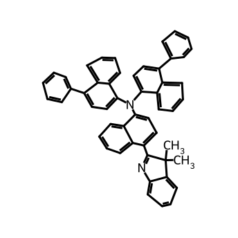 CC1(C)C(c2ccc(N(c3ccc(-c4ccccc4)c4ccccc34)c3ccc(-c4ccccc4)c4ccccc34)c3ccccc23)=Nc2ccccc21